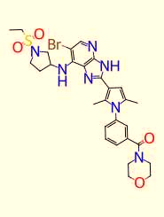 CCS(=O)(=O)N1CCC(Nc2c(Br)cnc3[nH]c(-c4cc(C)n(-c5cccc(C(=O)N6CCOCC6)c5)c4C)nc23)C1